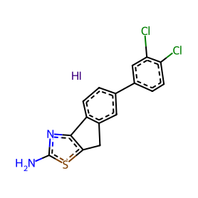 I.Nc1nc2c(s1)Cc1cc(-c3ccc(Cl)c(Cl)c3)ccc1-2